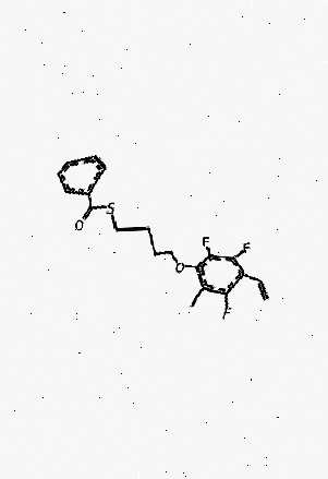 C=Cc1c(F)c(C)c(OCCCCSC(=O)c2ccccc2)c(F)c1F